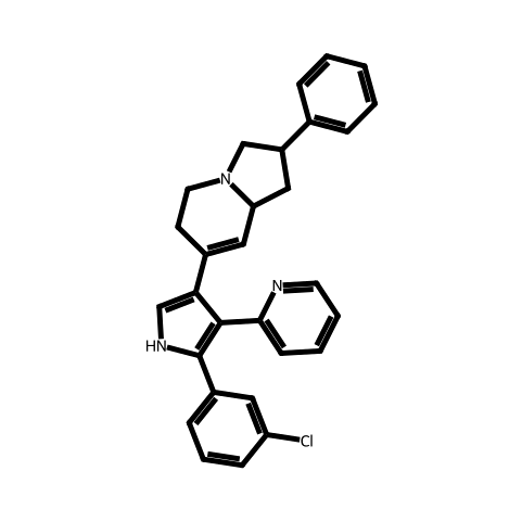 Clc1cccc(-c2[nH]cc(C3=CC4CC(c5ccccc5)CN4CC3)c2-c2ccccn2)c1